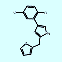 Clc1ccc(Cl)c(-c2c[nH]c(Cc3cccs3)n2)c1